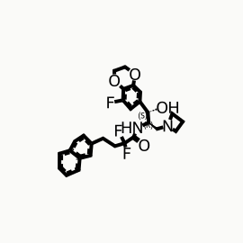 O=C(N[C@H](CN1CCC1)[C@@H](O)c1cc(F)c2c(c1)OCCO2)C(F)(F)CCc1ccc2ccccc2c1